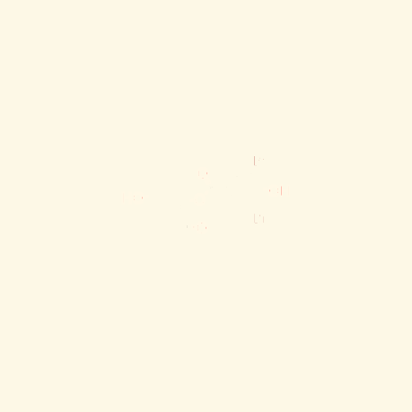 CCC(=O)c1cc(O)ccc1OC(=O)c1cc(Br)c(O)c(Br)c1